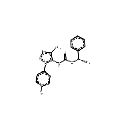 Cc1nnn(-c2ccc(Br)cc2)c1NC(=O)O[C@H](C)c1ccccc1